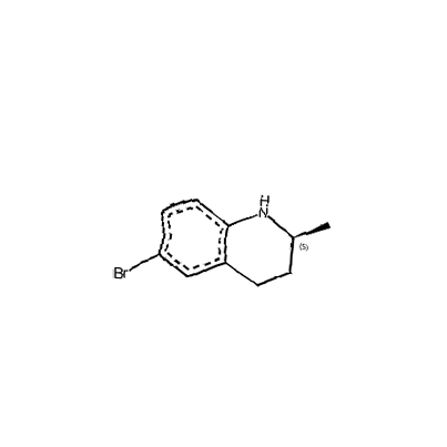 C[C@H]1CCc2cc(Br)ccc2N1